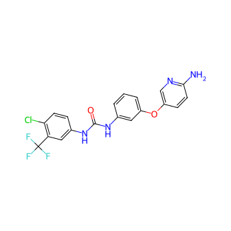 Nc1ccc(Oc2cccc(NC(=O)Nc3ccc(Cl)c(C(F)(F)F)c3)c2)cn1